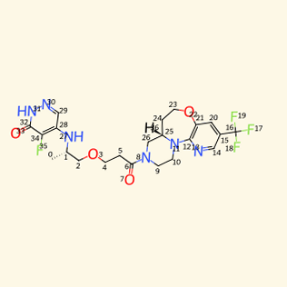 C[C@@H](COCCC(=O)N1CCN2c3ncc(C(F)(F)F)cc3OCC[C@H]2C1)Nc1cn[nH]c(=O)c1F